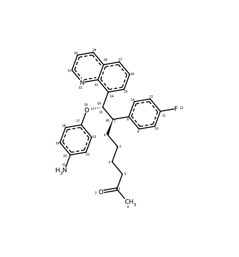 CC(=O)CCCC[C@H](c1ccc(F)cc1)[C@H](Oc1ccc(N)cc1)c1cccc2cccnc12